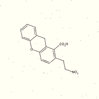 O=C(O)c1c(CC[N+](=O)[O-])ccc2c1Cc1ccccc1O2